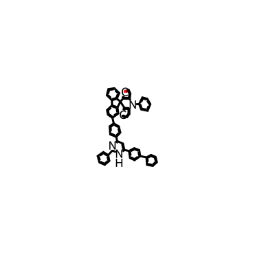 C1=C(c2ccc(-c3ccccc3)cc2)NC(c2ccccc2)N=C1c1ccc(-c2ccc3c(c2)C2(c4ccccc4-3)c3ccccc3N(c3ccccc3)c3ccccc32)cc1